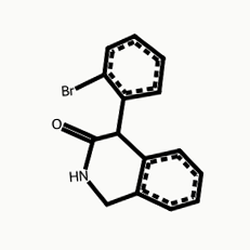 O=C1NCc2ccccc2C1c1ccccc1Br